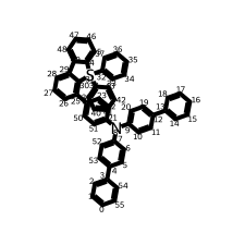 c1ccc(-c2ccc(N(c3ccc(-c4ccccc4)cc3)c3ccc(-c4cccc5c4S(c4ccccc4)(c4ccccc4)c4ccccc4-5)cc3)cc2)cc1